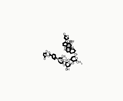 CC1CN(c2ccc(C(=O)ON3C(=O)CCC3=O)cc2)CC[C@H](O[C@H]2[C@@H](O)C[C@H](O[C@@H]3C(C)O[C@@H](O[C@H]4CCC5(C)C(CC[C@@H]6[C@@H]5CC(O)C5(C)[C@@H](C7=CC(=O)OC7)CC[C@]65O)C4)C[C@@H]3O)O[C@@H]2C)O1